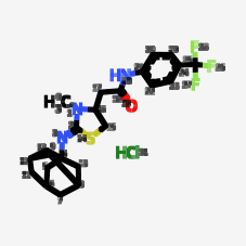 CN1C(=NC23CC4CC(CC(C4)C2)C3)SCC1CC(=O)Nc1ccc(C(F)(F)F)cc1.Cl